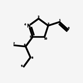 C=CC1CN=C(C(C)CC)C1